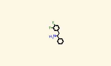 NC(Cc1ccc(F)c(F)c1)c1ccccc1